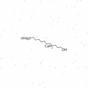 CCCCCCCCCCCCCCCCCCO.[CaH2]